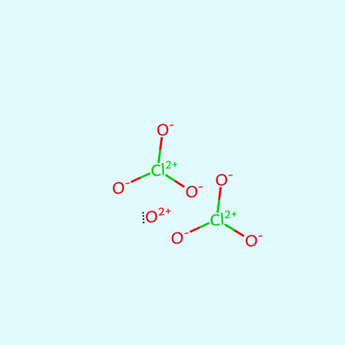 [O+2].[O-][Cl+2]([O-])[O-].[O-][Cl+2]([O-])[O-]